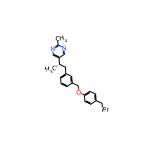 Cc1ncc([C@@H](C)Cc2cccc(COc3ccc(CC(C)C)cc3)c2)cn1